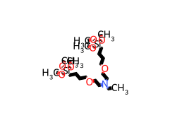 CCN(CCOCCCC[Si](OC)(OC)OC)CCOCCCC[Si](OC)(OC)OC